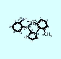 Cc1cccc(C)c1-n1ccnc1N(C)c1ccccc1C(C)C